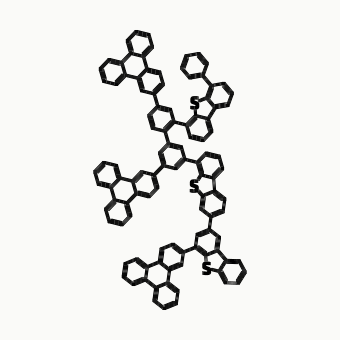 c1ccc(-c2cccc3c2sc2c(-c4cc(-c5ccc6c7ccccc7c7ccccc7c6c5)ccc4-c4cc(-c5ccc6c7ccccc7c7ccccc7c6c5)cc(-c5cccc6c5sc5cc(-c7cc(-c8ccc9c%10ccccc%10c%10ccccc%10c9c8)c8sc9ccccc9c8c7)ccc56)c4)cccc23)cc1